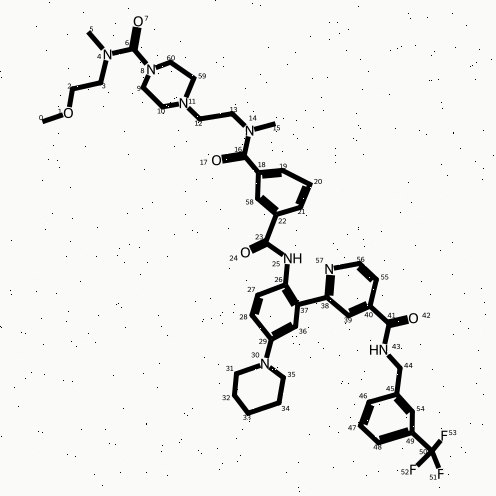 COCCN(C)C(=O)N1CCN(CCN(C)C(=O)c2cccc(C(=O)Nc3ccc(N4CCCCC4)cc3-c3cc(C(=O)NCc4cccc(C(F)(F)F)c4)ccn3)c2)CC1